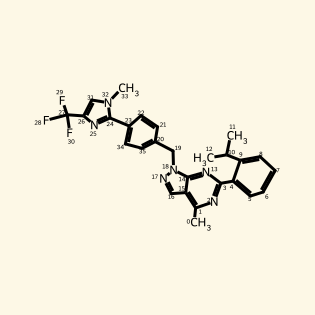 Cc1nc(-c2ccccc2C(C)C)nc2c1cnn2Cc1ccc(-c2nc(C(F)(F)F)cn2C)cc1